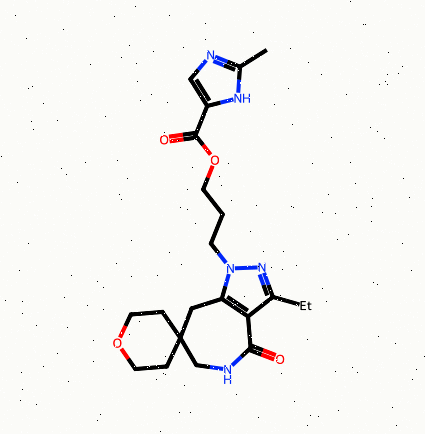 CCc1nn(CCCOC(=O)c2cnc(C)[nH]2)c2c1C(=O)NCC1(CCOCC1)C2